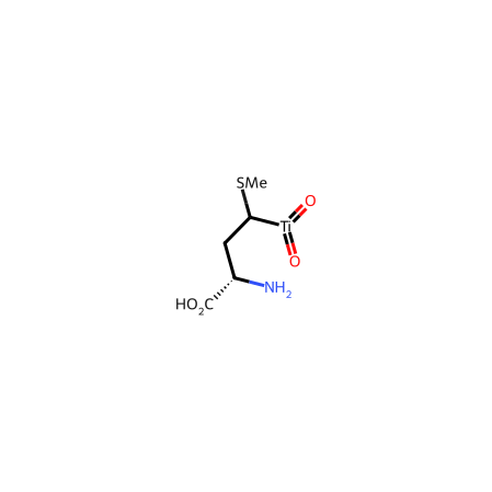 CS[CH](C[C@H](N)C(=O)O)[Ti](=[O])=[O]